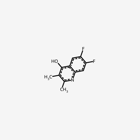 Cc1nc2cc(F)c(F)cc2c(O)c1C